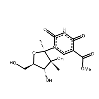 COC(=O)c1cn([C@]2(C)O[C@H](CO)[C@@H](O)[C@@]2(C)O)c(=O)[nH]c1=O